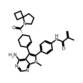 C=C(C)C(=O)Nc1ccc(-c2c(C3=CC[C@@H](C(=O)N4CCCC45CCC5)CC3)c3c(N)ncnc3n2C)cc1